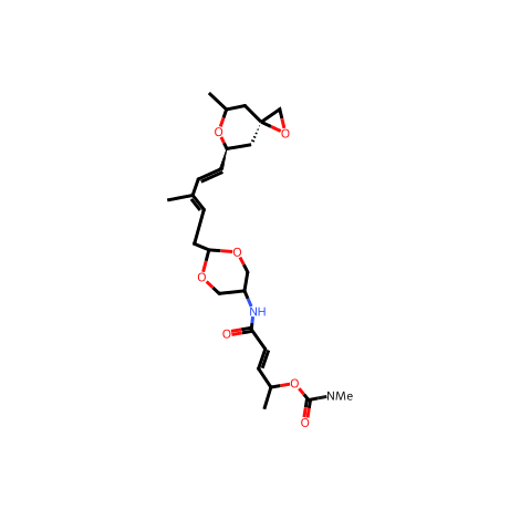 CNC(=O)OC(C)C=CC(=O)NC1COC(CC=C(C)C=C[C@@H]2C[C@@]3(CO3)CC(C)O2)OC1